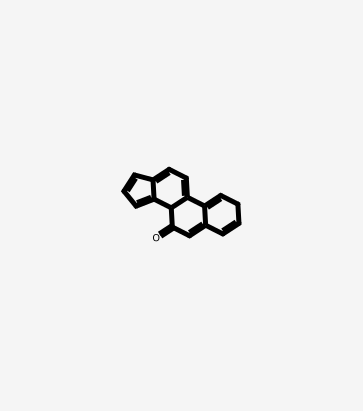 O=C1C=C2C=CCC=C2C2=CC=C3C=CC=C3C12